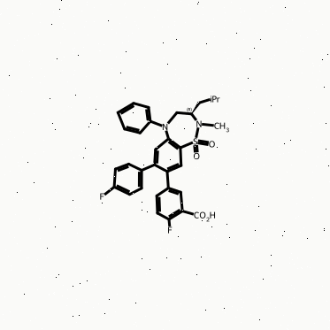 CC(C)C[C@@H]1CN(c2ccccc2)c2cc(-c3ccc(F)cc3)c(-c3ccc(F)c(C(=O)O)c3)cc2S(=O)(=O)N1C